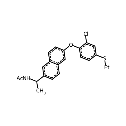 CCSc1ccc(Oc2ccc3cc(C(C)NC(C)=O)ccc3c2)c(Cl)c1